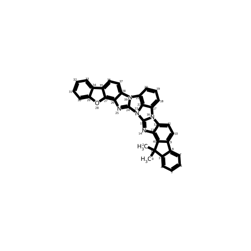 CC1(C)c2ccccc2-c2ccc3c(nc4n3c3cccc5c3n4c3nc4c6oc7ccccc7c6ccc4n53)c21